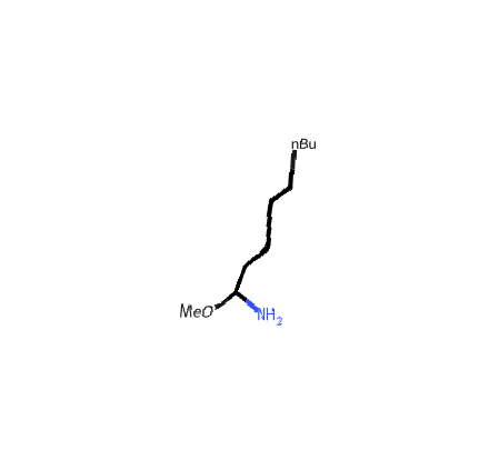 [CH2]CCCCCCCC(N)OC